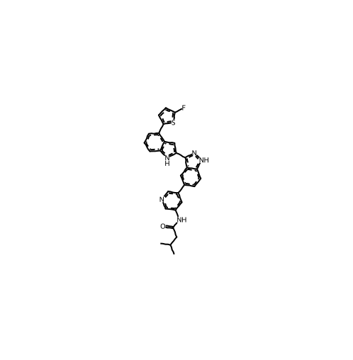 CC(C)CC(=O)Nc1cncc(-c2ccc3[nH]nc(-c4cc5c(-c6ccc(F)s6)cccc5[nH]4)c3c2)c1